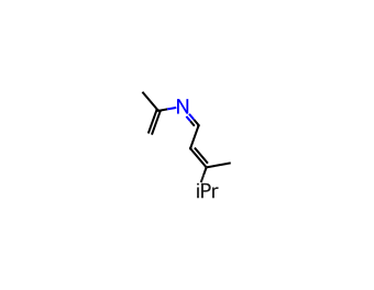 C=C(C)/N=C\C=C(/C)C(C)C